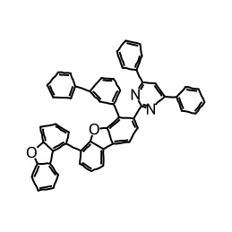 c1ccc(-c2cccc(-c3c(-c4nc(-c5ccccc5)cc(-c5ccccc5)n4)ccc4c3oc3c(-c5cccc6oc7ccccc7c56)cccc34)c2)cc1